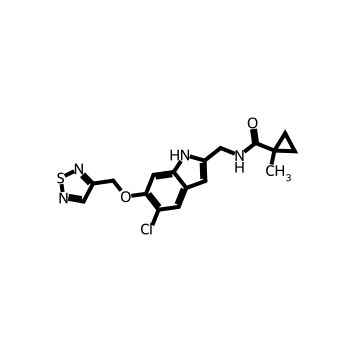 CC1(C(=O)NCc2cc3cc(Cl)c(OCc4cnsn4)cc3[nH]2)CC1